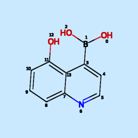 OB(O)c1ccnc2cccc(O)c12